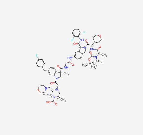 C[C@@H]1COCCN1C[C@H]1CN(C(=O)O)[C@H](C)CN1CC(=O)N1CC(C)(C(=O)NCC(=O)Nc2ccc3c(c2)[C@@H](C(=O)Nc2c(F)cccc2F)N(C(=O)[C@@H](NC(=O)[C@H](C)N(C)C(=O)OC(C)(C)C)C2CCOCC2)C3)c2ccc(Cc3ccc(F)cc3)cc21